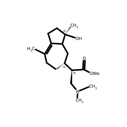 COC(=O)[C@@H](CN(C)C)[C@@H]1CCC(C)=C2CC[C@@](C)(O)C2C1